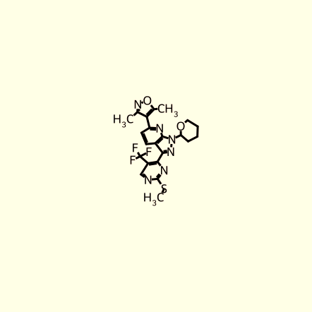 CSc1ncc(C(F)(F)F)c(-c2nn(C3CCCCO3)c3nc(-c4c(C)noc4C)ccc23)n1